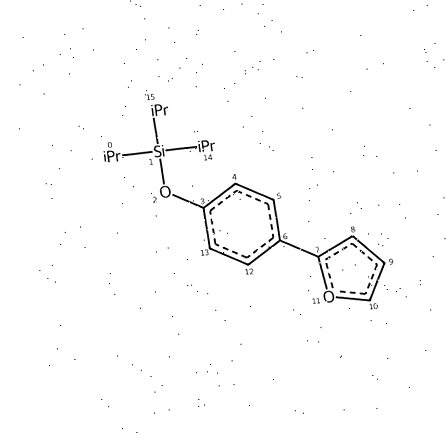 CC(C)[Si](Oc1ccc(-c2ccco2)cc1)(C(C)C)C(C)C